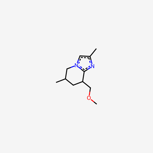 COCC1CC(C)Cn2cc(C)nc21